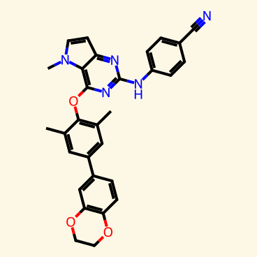 Cc1cc(-c2ccc3c(c2)OCCO3)cc(C)c1Oc1nc(Nc2ccc(C#N)cc2)nc2ccn(C)c12